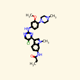 C=CC(=O)Nc1ccc2c(-c3nc(Nc4ccc(N5CCN(C)CC5)c(OC)c4)ncc3Cl)cn(C)c2c1